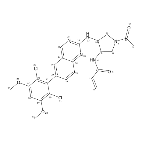 C=CC(=O)NC1CN(C(C)=O)CC1Nc1ncc2cc(-c3c(Cl)c(OC)cc(OC)c3Cl)ccc2n1